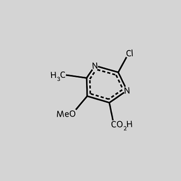 COc1c(C)nc(Cl)nc1C(=O)O